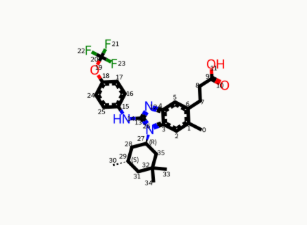 Cc1cc2c(cc1CCC(=O)O)nc(Nc1ccc(OC(F)(F)F)cc1)n2[C@@H]1C[C@@H](C)CC(C)(C)C1